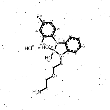 Cl.NCCOCCN1c2ccccc2N(c2ccc(F)cc2F)S1(O)O